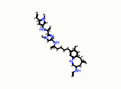 C=CNC1/C=N\c2cc(CCCCC(=C)Nc3cn(C)c(C(=C)Nc4cc(C=C)n(C)c4)n3)c(C)cc2CC(=C)C1